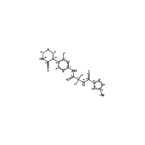 Cc1cc(NC(=O)C(C)(C)NC(=O)c2ccc(Br)s2)ccc1N1CCCNC1=O